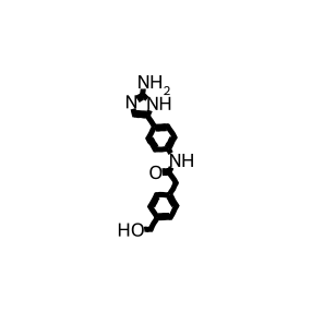 Nc1ncc(-c2ccc(NC(=O)Cc3ccc(CO)cc3)cc2)[nH]1